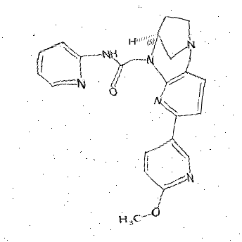 COc1ccc(-c2ccc3c(n2)N(C(=O)Nc2ccccn2)[C@H]2CCN3C2)cn1